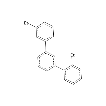 CCc1cccc(-c2cccc(-c3ccccc3CC)c2)c1